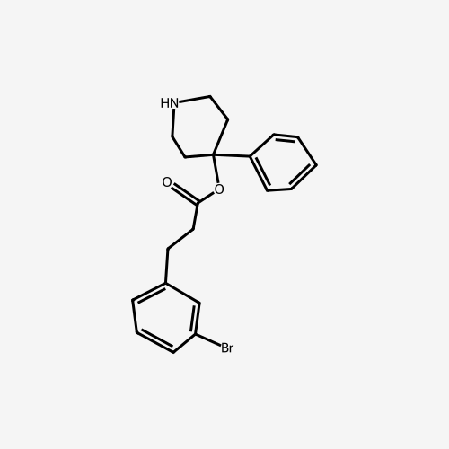 O=C(CCc1cccc(Br)c1)OC1(c2ccccc2)CCNCC1